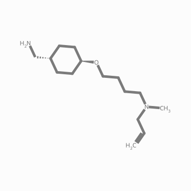 C=CCN(C)CCCCO[C@H]1CC[C@H](CN)CC1